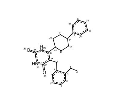 CCc1ccccc1Cc1c(C2CCC(c3ccccc3)CC2)[nH]c(=O)[nH]c1=O